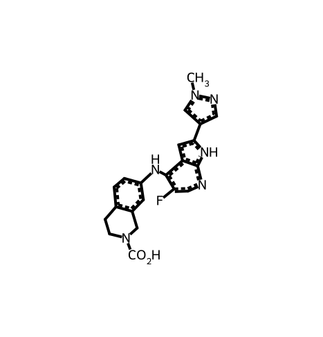 Cn1cc(-c2cc3c(Nc4ccc5c(c4)CN(C(=O)O)CC5)c(F)cnc3[nH]2)cn1